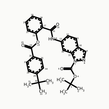 CC(C)(C)OC(=O)n1ncc2ccc(NC(=O)c3ccccc3OC(=O)c3ccc(C(C)(C)C)cc3)cc21